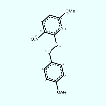 COc1ccc(OSc2nc(OC)ccc2[N+](=O)[O-])cc1